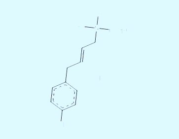 CCCCCCC[N+](CC)(CC)CC=CCc1ccc(Cl)cc1.[Cl-]